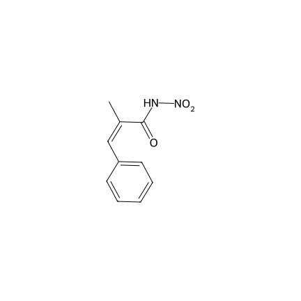 CC(=Cc1ccccc1)C(=O)N[N+](=O)[O-]